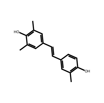 Cc1cc(C=Cc2cc(C)c(O)c(C)c2)ccc1O